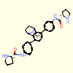 CC(C)N1C2CCC1c1c(-c3ccc(NC(=O)[C@@H]4CCCN4)cc3)ccc(-c3ccc(NC(=O)[C@@H]4CCCN4)cc3)c12